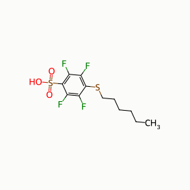 CCCCCCSc1c(F)c(F)c(S(=O)(=O)O)c(F)c1F